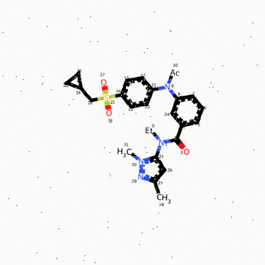 CCN(C(=O)c1cccc(N(C(C)=O)c2ccc(S(=O)(=O)CC3CC3)cc2)c1)c1cc(C)nn1C